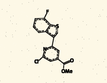 COC(=O)c1cc(Cl)nc(-c2csc3c(F)cccc23)c1